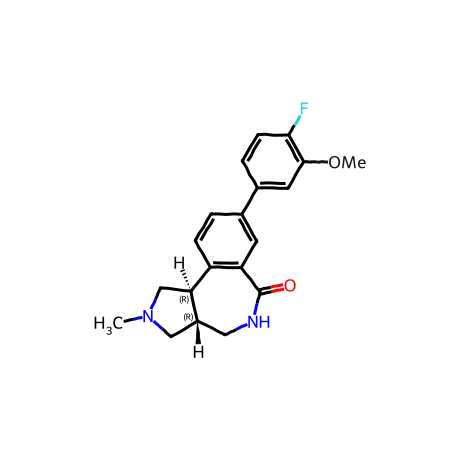 COc1cc(-c2ccc3c(c2)C(=O)NC[C@@H]2CN(C)C[C@@H]32)ccc1F